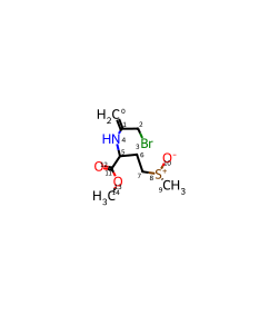 C=C(CBr)NC(CC[S+](C)[O-])C(=O)OC